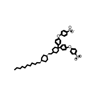 CCCCCCCCCCC[C@H]1CC[C@H](CCC2CCC(c3ccc(Oc4ccc([N+](=O)[O-])cc4)cc3)(c3ccc(Oc4ccc([N+](=O)[O-])cc4)cc3)CC2)CC1